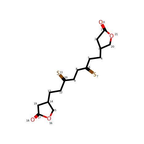 O=C1CC(CCC(=S)CCC(=S)CCC2COC(=O)C2)CO1